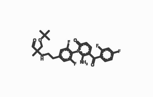 CC(C=O)(COC(C)(C)C)NCCc1cc(F)c(-n2c(N)c(C(=O)c3ccc(F)cc3F)ccc2=O)c(F)c1